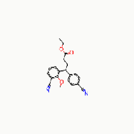 CCOC(=O)CCC(c1ccc(C#N)cc1)c1cccc(C#N)c1OC